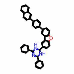 c1ccc(C2=NC(c3ccccc3)NC(c3ccc4oc5ccc(-c6ccc(-c7ccc8ccccc8c7)cc6)cc5c4c3)N2)cc1